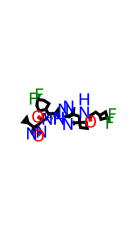 N#CC1(C(NC(=O)CC2CC(F)(F)C2)c2cnn3cc([C@@H](NC(=O)c4nonc4C4CC4)C4CCC(F)(F)CC4)nc3c2)CCC1